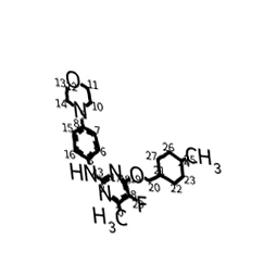 Cc1nc(Nc2ccc(N3CCOCC3)cc2)nc(OCC2CCC(C)CC2)c1F